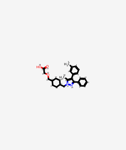 Cc1cccc(-c2c(-c3ccccc3)nn(CC3CCC(COCC(=O)O)CC3)c2C)c1